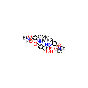 CCN(CC)S(=O)(=O)c1ccc(OC)c(NC(=O)c2ccc3cc(O)c(C(=O)Nc4cc(S(=O)(=O)N(CC)CC)ccc4OC)cc3c2)c1